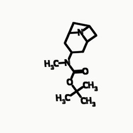 CN(C(=O)OC(C)(C)C)C1CC2CC3CC(C1)N23